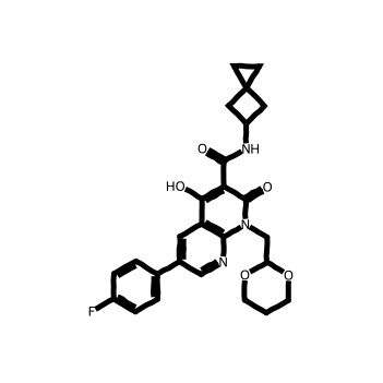 O=C(NC1CC2(CC2)C1)c1c(O)c2cc(-c3ccc(F)cc3)cnc2n(CC2OCCCO2)c1=O